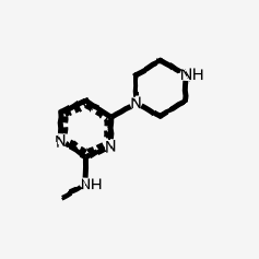 CNc1nccc(N2CCNCC2)n1